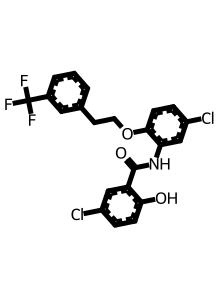 O=C(Nc1cc(Cl)ccc1OCCc1cccc(C(F)(F)F)c1)c1cc(Cl)ccc1O